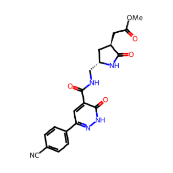 COC(=O)C[C@@H]1C[C@@H](CNC(=O)c2cc(-c3ccc(C#N)cc3)n[nH]c2=O)NC1=O